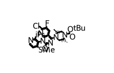 CSc1ccnc(C(C)C)c1-n1c(=O)nc(N2C[C@@H](C)N(C(=O)OC(C)(C)C)C[C@@H]2C)c2cc(F)c(Cl)nc21